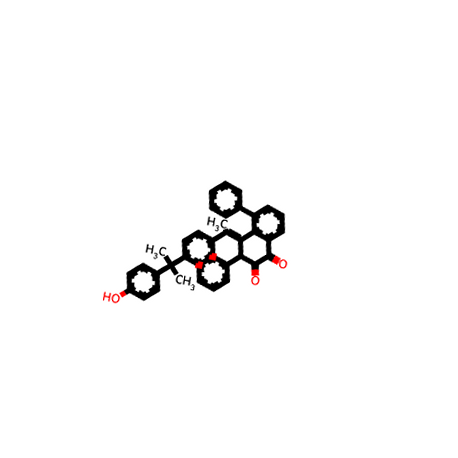 CC(=C1c2c(cccc2-c2ccccc2)C(=O)C(=O)C1c1ccccc1)c1ccc(C(C)(C)c2ccc(O)cc2)cc1